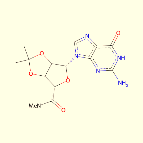 CNC(=O)[C@H]1O[C@@H](n2cnc3c(=O)[nH]c(N)nc32)C2OC(C)(C)OC21